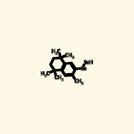 Cc1cc2c(cc1[Se][SeH])C(C)(C)CCC2(C)C